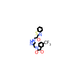 O=C(Cn1cc(CN2C(=O)C(=O)c3cc(C(F)(F)F)ccc32)nn1)c1nc2ccccc2s1